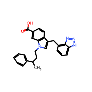 CC(CCn1cc(Cc2cccc3[nH]nnc23)c2ccc(C(=O)O)cc21)c1ccccc1